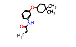 C=CC(=O)Nc1cccc(OC2CCC(C)(C)CC2)c1